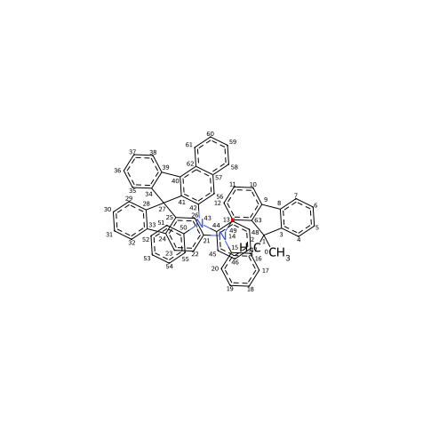 CC1(C)c2ccccc2-c2cccc(N(c3ccccc3)c3ccc4c(c3)C3(c5ccccc5-4)c4ccccc4-c4c3c(N(c3ccccc3)c3ccccc3)cc3ccccc43)c21